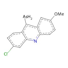 COc1ccc2nc3cc(Cl)ccc3c([AsH2])c2c1